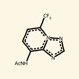 CC(=O)Nc1ccc(C(F)(F)F)n2ncnc12